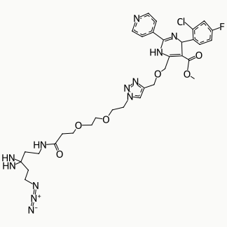 COC(=O)C1=C(COCc2cn(CCOCCOCCC(=O)NCCC3(CCN=[N+]=[N-])NN3)nn2)NC(c2ccncc2)=NC1c1ccc(F)cc1Cl